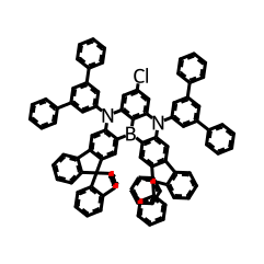 Clc1cc2c3c(c1)N(c1cc(-c4ccccc4)cc(-c4ccccc4)c1)c1cc4c(cc1B3c1cc3c(cc1N2c1cc(-c2ccccc2)cc(-c2ccccc2)c1)-c1ccccc1C31c2ccccc2-c2ccccc21)C1(c2ccccc2-c2ccccc21)c1ccccc1-4